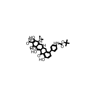 CN(C)[C@@H]1C(O)=C(C(N)=O)C(=O)[C@]2(O)C(O)=C3C(=O)c4c(O)ccc(-c5ccc(NC(=O)OC(C)(C)C)cc5)c4C[C@H]3C[C@@H]12